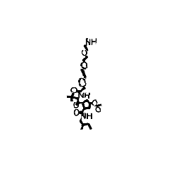 CCC(C)CNC(=O)C1CC(OC(C)=O)CC1C(=O)C(NC(=O)COCCOCCOCCNC)C(C)(C)C